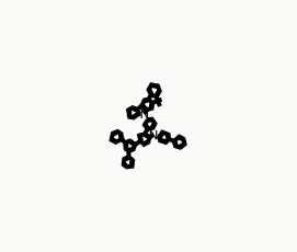 CC1(C)c2ccccc2-c2cc3c4ccccc4n(-c4ccc5c(c4)c4cc(-c6cc(-c7ccccc7)cc(-c7ccccc7)c6)ccc4n5-c4ccc(-c5ccccc5)cc4)c3cc21